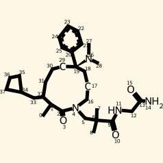 CC1C(=O)N(CC(C)(C)C(=O)NCC(N)=O)CCC[C@](c2ccccc2)(N(C)C)CCCC1CC1CCC1